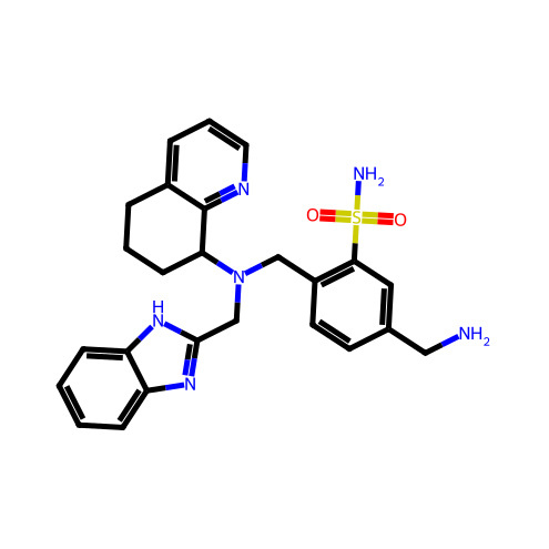 NCc1ccc(CN(Cc2nc3ccccc3[nH]2)C2CCCc3cccnc32)c(S(N)(=O)=O)c1